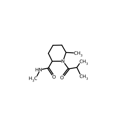 CNC(=O)C1CCCC(C)N1C(=O)C(C)C